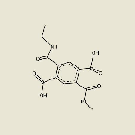 CCNC(=O)c1cc(C(=O)O)c(C(=O)NC)cc1C(=O)O